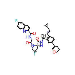 C[C@H](NC(=O)[C@@H]1C[C@@H](F)CN1C(=O)CNC(=O)c1ccc2cc(F)ccc2n1)c1cc(C2=COCCC2)ccc1/C=C/C1CC1